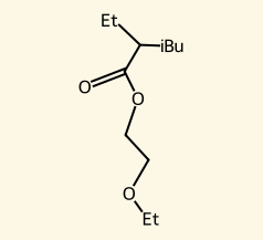 CCOCCOC(=O)C(CC)C(C)CC